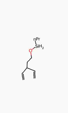 C=CC(C=C)CCO[SiH2]CCC